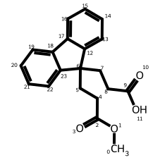 COC(=O)CCC1(CCC(=O)O)c2ccccc2-c2ccccc21